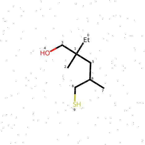 CCC(C)(CO)CC(C)CS